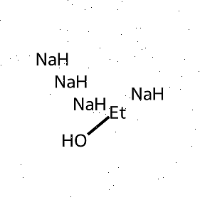 CCO.[NaH].[NaH].[NaH].[NaH]